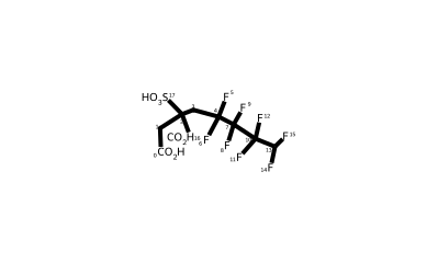 O=C(O)CC(CC(F)(F)C(F)(F)C(F)(F)C(F)F)(C(=O)O)S(=O)(=O)O